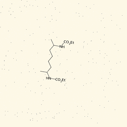 CCOC(=O)NC(C)CCCCC(C)NC(=O)OCC